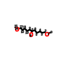 COCCCCCC(=O)CCCCCOC